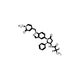 Cn1ccc(Cn2ncc3cc(N4C(=O)CC(NC(=O)C(C)(F)F)[C@H]4c4ccccc4)ccc32)cc1=O